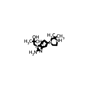 CC(C)(O)Cn1c(N)nc2cc(N3CCNC(C)(C)C3)ccc21